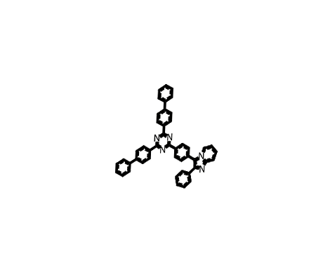 c1ccc(-c2ccc(-c3nc(-c4ccc(-c5ccccc5)cc4)nc(-c4ccc(-c5c(-c6ccccc6)nc6ccccn56)cc4)n3)cc2)cc1